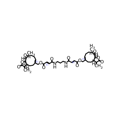 C=C1C(=O)O[C@H]2[C@H]1CC/C(COC(=O)/C=C/C(=O)NCCCNC(=O)/C=C/C(=O)OC/C1=C/CC[C@@]3(C)O[C@H]3[C@H]3OC(=O)C(=C)[C@@H]3CC1)=C\CC[C@@]1(C)O[C@@H]21